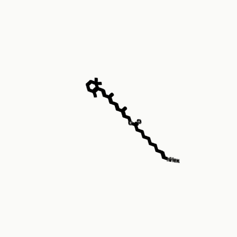 CCCCCC/C=C/CCCCCCCC(=O)OC/C=C(C)/C=C/C=C(C)/C=C/C1=C(C)CCCC1(C)C